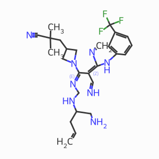 C=CCC(CN)NC/N=C(\C(C=N)=C(/N=C)Nc1cccc(C(F)(F)F)c1)N1CC(CC(C)(C)C#N)C1